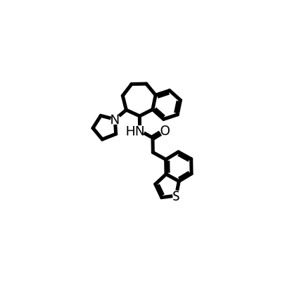 O=C(Cc1cccc2sccc12)NC1c2ccccc2CCCC1N1CCCC1